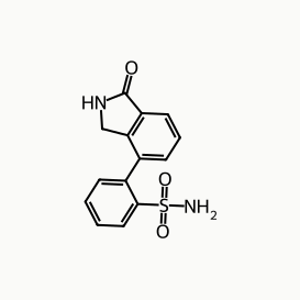 NS(=O)(=O)c1ccccc1-c1cccc2c1CNC2=O